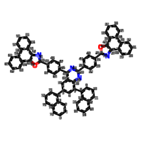 c1ccc2c(-c3cc(-c4cccc5ccccc45)c4nc(-c5ccc(-c6nc7c8ccccc8c8ccccc8c7o6)cc5)nc(-c5ccc(-c6nc7c8ccccc8c8ccccc8c7o6)cc5)c4c3)cccc2c1